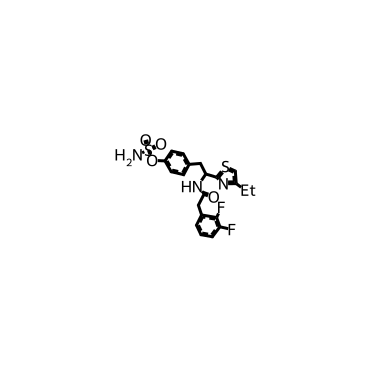 CCc1csc(C(Cc2ccc(OS(N)(=O)=O)cc2)NC(=O)Cc2cccc(F)c2F)n1